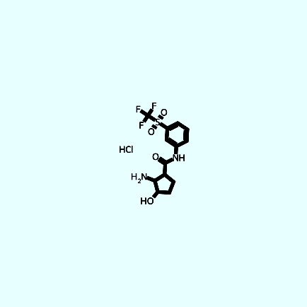 Cl.NC1C(O)CCC1C(=O)Nc1cccc(S(=O)(=O)C(F)(F)F)c1